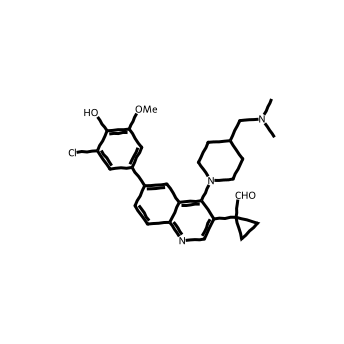 COc1cc(-c2ccc3ncc(C4(C=O)CC4)c(N4CCC(CN(C)C)CC4)c3c2)cc(Cl)c1O